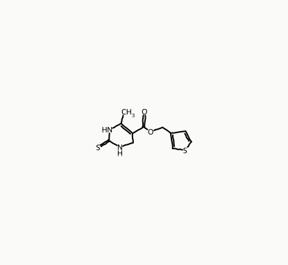 CC1=C(C(=O)OCc2ccsc2)CNC(=S)N1